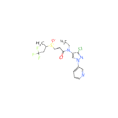 CCN(C(=O)CC[S+]([O-])C(C)CC(F)(F)F)c1cn(-c2cccnc2)nc1Cl